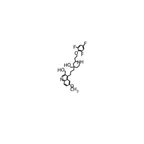 COc1ccc2ncc(CO)c(CCCC3(CO)CCNC(CCOc4c(F)cc(F)cc4F)C3)c2c1